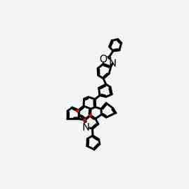 c1ccc(-c2cc(-c3ccccc3-c3c(-c4cccc(-c5ccc6oc(-c7ccccc7)nc6c5)c4)ccc4ccccc34)cc(-c3ccccc3)n2)cc1